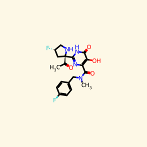 CC(=O)[C@@]1(c2nc(C(=O)N(C)Cc3ccc(F)cc3)c(O)c(=O)[nH]2)C[C@H](F)CN1